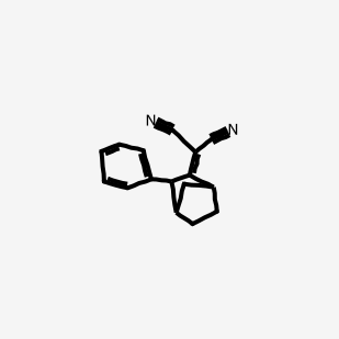 N#CC(C#N)=C1C2CCC(C2)C1c1ccccc1